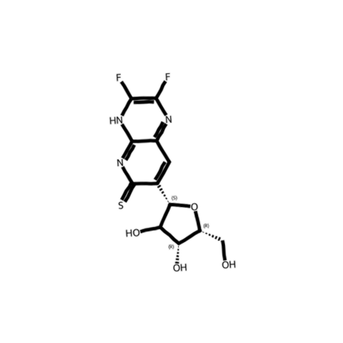 OC[C@H]1O[C@@H](c2cc3nc(F)c(F)[nH]c-3nc2=S)C(O)[C@H]1O